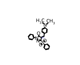 CCN(CC)c1ccc(/C=C2\C(=O)N(c3ccccc3)N=C2S(=O)(=O)c2ccccc2)cc1